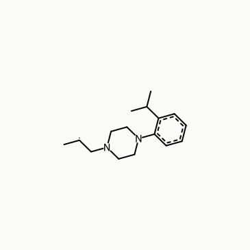 C[CH]CN1CCN(c2ccccc2C(C)C)CC1